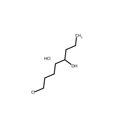 CCCC(O)CCCCCl.Cl